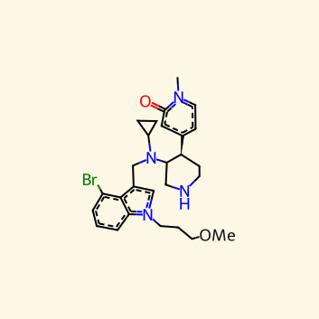 COCCCn1cc(CN(C2CC2)C2CNCC[C@@H]2c2ccn(C)c(=O)c2)c2c(Br)cccc21